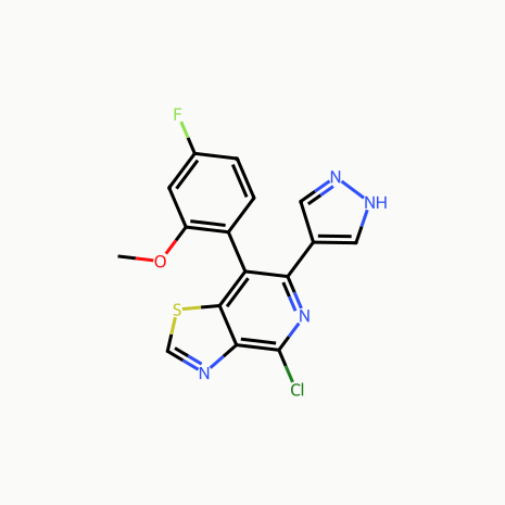 COc1cc(F)ccc1-c1c(-c2cn[nH]c2)nc(Cl)c2ncsc12